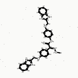 CON=C(C(=O)Oc1ccc(OCc2nc3ccccc3s2)cc1)c1ccc(OCc2nc3ccccc3s2)cc1